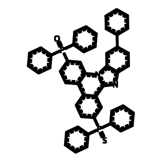 O=P(c1ccccc1)(c1ccccc1)c1ccc2c3ccc(P(=S)(c4ccccc4)c4ccccc4)cc3c3nc4ccc(-c5ccccc5)cc4n3c2c1